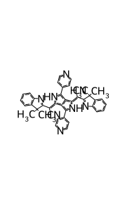 CC1(C)C(/C(C#N)=c2\[nH]c(-c3ccncc3)c3/c(=C(\C#N)C4=Nc5ccccc5C4(C)C)[nH]c(-c4ccncc4)c23)=Nc2ccccc21